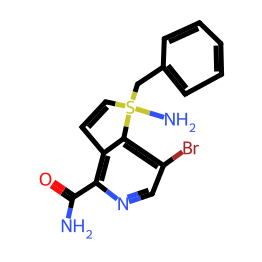 NC(=O)c1ncc(Br)c2c1C=CS2(N)Cc1ccccc1